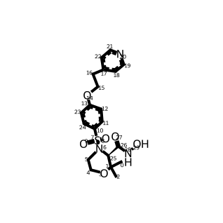 CC1(C)OCCN(S(=O)(=O)c2ccc(OCCc3ccncc3)cc2)[C@H]1C(=O)NO